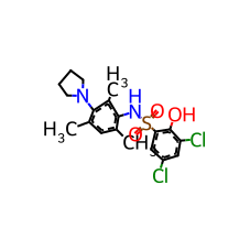 Cc1cc(C)c(N2CCCC2)c(C)c1NS(=O)(=O)c1cc(Cl)cc(Cl)c1O